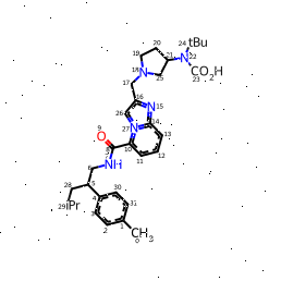 Cc1ccc(C(CNC(=O)c2cccc3nc(CN4CCC(N(C(=O)O)C(C)(C)C)C4)cn23)CC(C)C)cc1